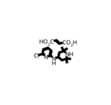 CC1(C)CC(Nc2cccc(Cl)n2)CC(C)(C)N1.O=C(O)/C=C/C(=O)O